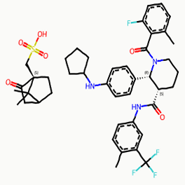 CC1(C)C2CC[C@@]1(CS(=O)(=O)O)C(=O)C2.Cc1ccc(NC(=O)[C@H]2CCCN(C(=O)c3c(C)cccc3F)[C@H]2c2ccc(NC3CCCC3)cc2)cc1C(F)(F)F